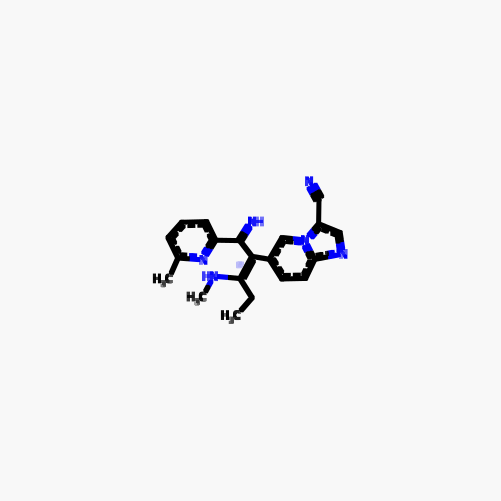 CC/C(NC)=C(/C(=N)c1cccc(C)n1)c1ccc2ncc(C#N)n2c1